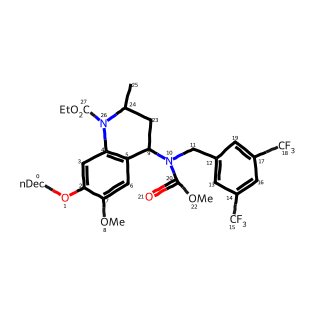 CCCCCCCCCCOc1cc2c(cc1OC)C(N(Cc1cc(C(F)(F)F)cc(C(F)(F)F)c1)C(=O)OC)CC(C)N2C(=O)OCC